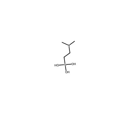 CN(C)CC[Si](O)(O)O